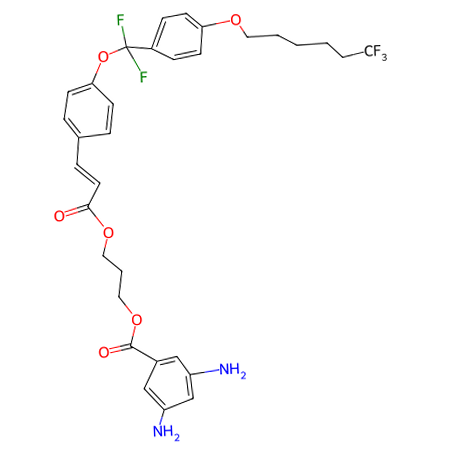 Nc1cc(N)cc(C(=O)OCCCOC(=O)/C=C/c2ccc(OC(F)(F)c3ccc(OCCCCCC(F)(F)F)cc3)cc2)c1